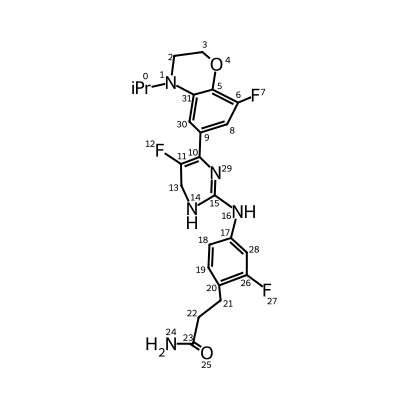 CC(C)N1CCOc2c(F)cc(C3=C(F)CNC(Nc4ccc(CCC(N)=O)c(F)c4)=N3)cc21